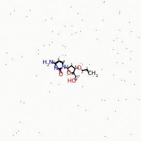 C=CCOC1CC(n2ccc(N)nc2=O)O[C@@H]1CO